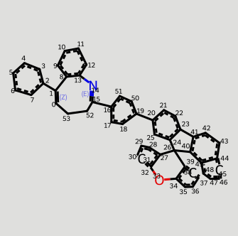 C1=C(/c2ccccc2)c2ccccc2/N=C(/c2ccc(-c3ccc4c(c3)C3(c5ccccc5Oc5ccccc53)c3c-4ccc4ccccc34)cc2)CC/1